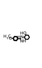 COc1ccc(C([NH])N[C@H]2CCCC[C@@H]2O)cc1